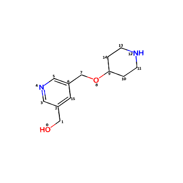 OCc1cncc(COC2CCNCC2)c1